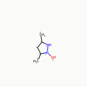 CC1CC(C)N(O)N1